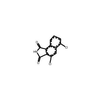 O=C1NC(=O)c2c1c(Cl)cc1c(Cl)cccc21